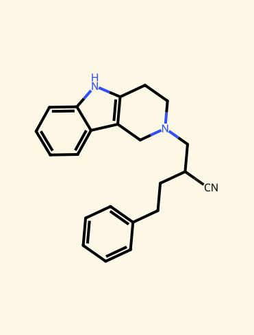 N#CC(CCc1ccccc1)CN1CCc2[nH]c3ccccc3c2C1